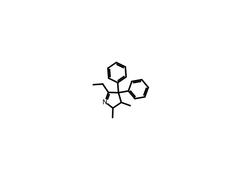 CCC1=NC(C)C(C)C1(c1ccccc1)c1ccccc1